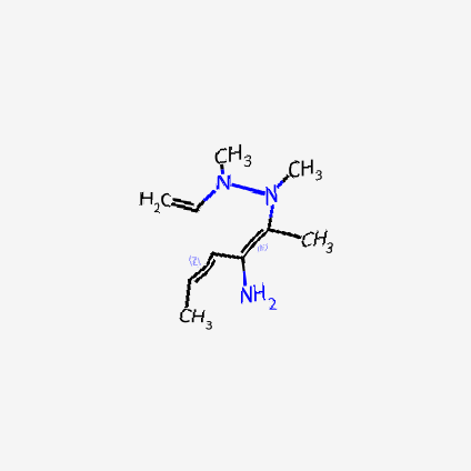 C=CN(C)N(C)/C(C)=C(N)\C=C/C